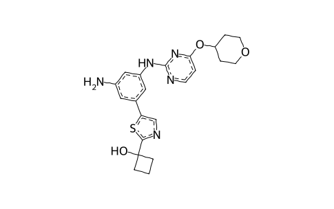 Nc1cc(Nc2nccc(OC3CCOCC3)n2)cc(-c2cnc(C3(O)CCC3)s2)c1